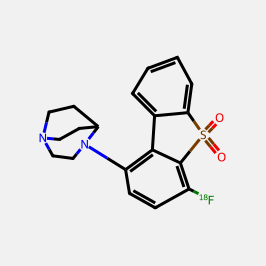 O=S1(=O)c2ccccc2-c2c(N3CCN4CCC3CC4)ccc([18F])c21